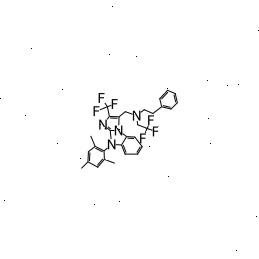 Cc1cc(C)c(-n2c3ccccc3n3c(CN(CCc4ccccc4)CC(F)(F)F)c(C(F)(F)F)nc23)c(C)c1